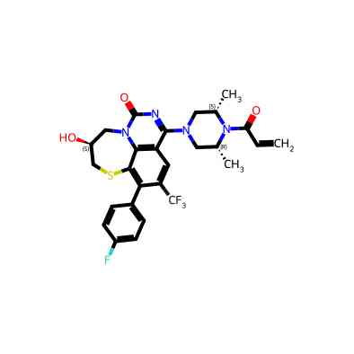 C=CC(=O)N1[C@H](C)CN(c2nc(=O)n3c4c(c(-c5ccc(F)cc5)c(C(F)(F)F)cc24)SC[C@@H](O)C3)C[C@@H]1C